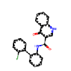 O=C(Nc1ccccc1-c1ccccc1F)c1c[nH]c2ccccc2c1=O